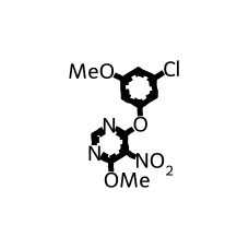 COc1cc(Cl)cc(Oc2ncnc(OC)c2[N+](=O)[O-])c1